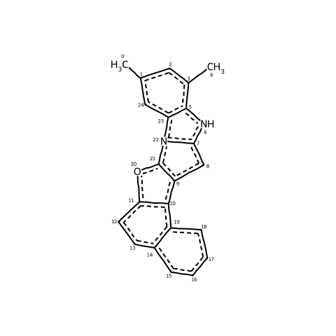 Cc1cc(C)c2[nH]c3cc4c5c(ccc6ccccc65)oc4n3c2c1